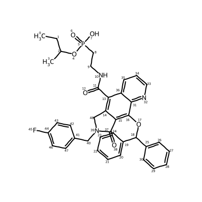 CCC(C)OP(=O)(O)CCNC(=O)c1c2c(c(OC(c3ccccc3)c3ccccc3)c3ncccc13)C(=O)N(Cc1ccc(F)cc1)C2